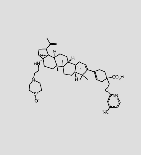 C=C(C)[C@@H]1CC[C@]2(NCCN3CC[S+]([O-])CC3)CC[C@]3(C)[C@H](CC[C@@H]4[C@@]5(C)CC=C(C6=CCC(COc7cc(C#N)ccn7)(C(=O)O)CC6)C(C)(C)[C@@H]5CC[C@]43C)[C@@H]12